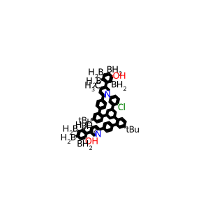 Bc1c(B)c(B)c(-c2cnc(-c3ccc(-c4cc(C(C)(C)C)ccc4C4CC(c5ccccc5Cl)CC(c5ccc(C(C)(C)C)cc5-c5ccc(-c6cc(C)c(-c7c(B)c(B)c(B)c(O)c7B)cn6)cc5)C4)cc3)cc2C)c(O)c1B